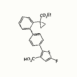 CCOC(=O)C1(c2ccccc2-c2ccc(-c3sc(F)cc3C(=O)O)cc2)CC1